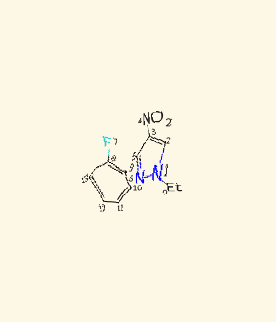 CCn1cc([N+](=O)[O-])cn1.Fc1ccccc1